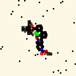 CC(C)(C)OC(=O)N1CCc2c[n+]([O-])c(-c3cccc(-c4cccc(B5OC(C)(C)C(C)(C)O5)c4Cl)c3Cl)cc2C1